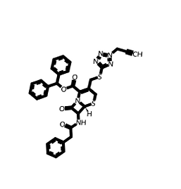 C#CCn1nnc(SCC2=C(C(=O)OC(c3ccccc3)c3ccccc3)N3C(=O)C(NC(=O)Cc4ccccc4)[C@@H]3SC2)n1